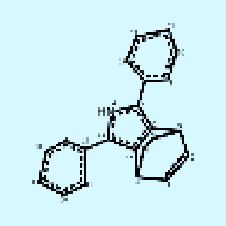 C1=CC2CCC1c1c(-c3ccccc3)[nH]c(-c3ccccc3)c12